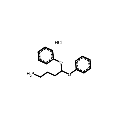 Cl.PCCCC(Oc1ccccc1)Oc1ccccc1